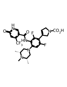 C[C@@H]1CN(c2cc(F)c(C3=CCN(C(=O)O)C3)c(F)c2NC(=O)c2c[nH]c(=O)cc2C(F)(F)F)C[C@H](C)N1C